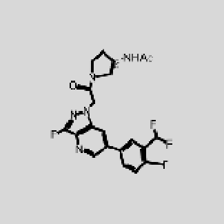 CC(=O)N[C@H]1CCN(C(=O)Cn2nc(F)c3ncc(-c4ccc(F)c(C(F)F)c4)cc32)C1